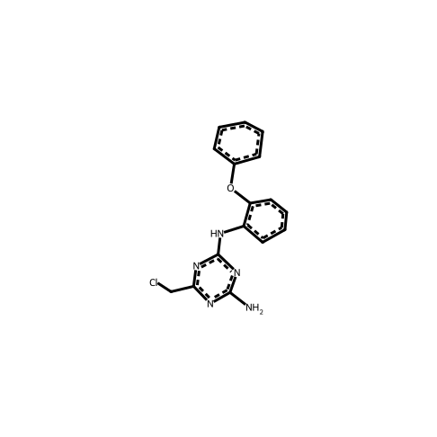 Nc1nc(CCl)nc(Nc2ccccc2Oc2ccccc2)n1